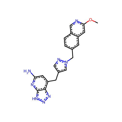 COc1cc2cc(Cn3cc(Cc4cc(N)nc5[nH]nnc45)cn3)ccc2cn1